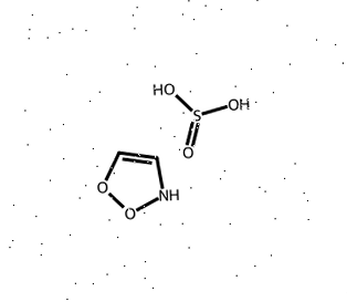 C1=COON1.O=S(O)O